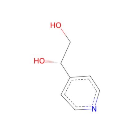 OC[C@@H](O)c1ccncc1